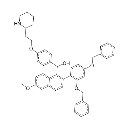 COc1ccc2c(C(O)c3ccc(OCCC4CCCCN4)cc3)c(-c3ccc(OCc4ccccc4)cc3OCc3ccccc3)ccc2c1